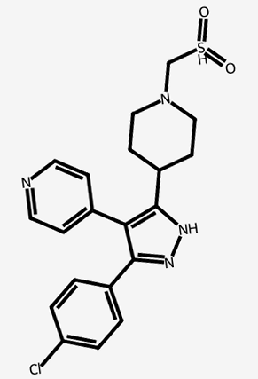 O=[SH](=O)CN1CCC(c2[nH]nc(-c3ccc(Cl)cc3)c2-c2ccncc2)CC1